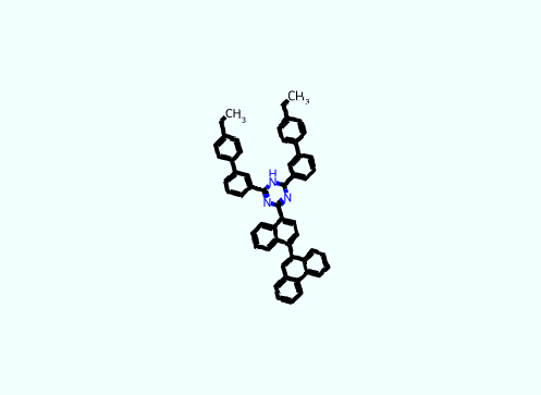 CCc1ccc(-c2cccc(C3=NC(c4ccc(-c5cc6ccccc6c6ccccc56)c5ccccc45)=NC(c4cccc(-c5ccc(CC)cc5)c4)N3)c2)cc1